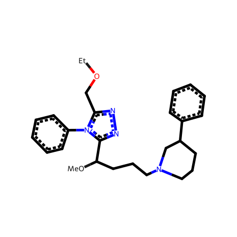 CCOCc1nnc(C(CCCN2CCCC(c3ccccc3)C2)OC)n1-c1ccccc1